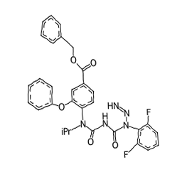 CC(C)N(C(=O)NC(=O)N(N=N)c1c(F)cccc1F)c1ccc(C(=O)OCc2ccccc2)cc1Oc1ccccc1